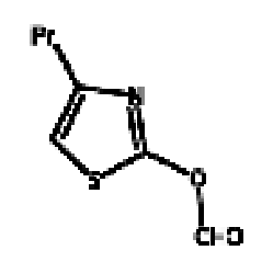 CC(C)c1csc(OC=O)n1